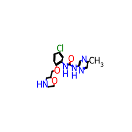 Cc1cnc(NC(=O)Nc2cc(Cl)ccc2OCC2CNCCO2)cn1